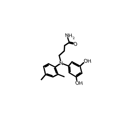 Cc1ccc(N(CCCC(N)=O)c2cc(O)cc(O)c2)c(C)c1